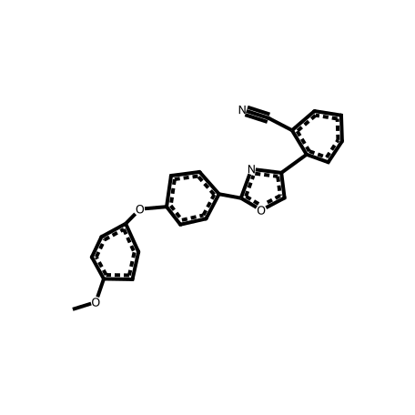 COc1ccc(Oc2ccc(-c3nc(-c4ccccc4C#N)co3)cc2)cc1